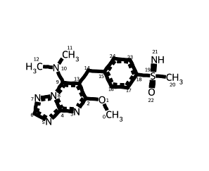 COc1nc2ncnn2c(N(C)C)c1Cc1ccc(S(C)(=N)=O)cc1